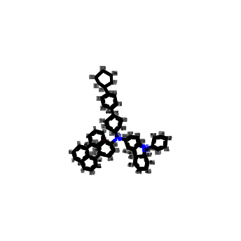 c1ccc(-c2cccc3cccc(-c4ccc(N(c5ccc(-c6ccc(C7CCCCC7)cc6)cc5)c5ccc6c(c5)c5ccccc5n6-c5ccccc5)cc4)c23)cc1